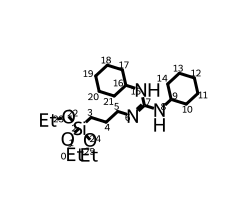 CCO[Si](CCCN=C(NC1CCCCC1)NC1CCCCC1)(OCC)OCC